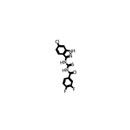 O=C(NC(=S)Nc1n[nH]c2cc(Cl)ccc12)c1ccc(F)c(F)c1